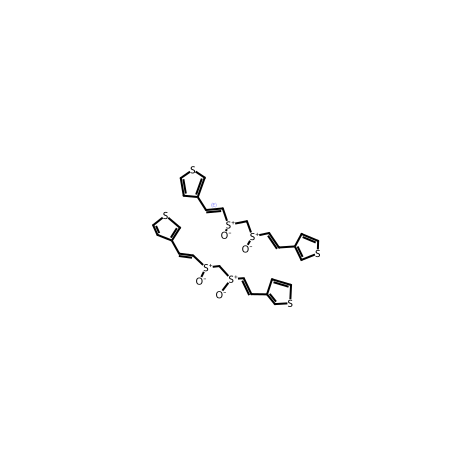 [O-][S+](C=Cc1ccsc1)C[S+]([O-])/C=C/c1ccsc1.[O-][S+](C=Cc1ccsc1)C[S+]([O-])C=Cc1ccsc1